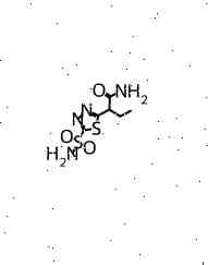 CCC(C(N)=O)c1nnc(S(N)(=O)=O)s1